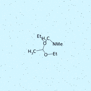 CCOC(C)OCC.CNC